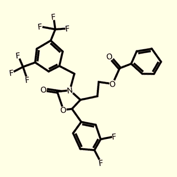 O=C(OCCC1C(c2ccc(F)c(F)c2)OC(=O)N1Cc1cc(C(F)(F)F)cc(C(F)(F)F)c1)c1ccccc1